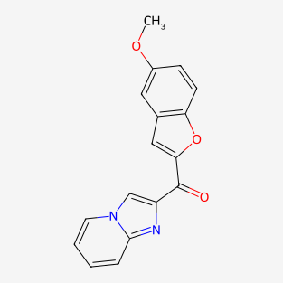 COc1ccc2oc(C(=O)c3cn4ccccc4n3)cc2c1